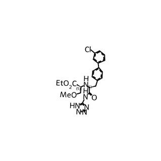 CCOC(=O)[C@H](COC)N[C@@H](Cc1ccc(-c2cccc(Cl)c2)cc1)C(=O)Nc1nnn[nH]1